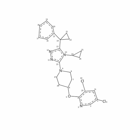 Clc1cnc(OC2CCN(c3nnc(C4(c5ccccc5)CC4)n3C3CC3)CC2)c(Cl)c1